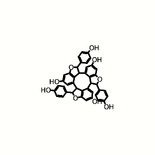 Oc1ccc(C2Oc3cc(O)cc4c3C2c2cc(O)cc3c2C(c2cc(O)cc5c2C4C(c2ccc(O)cc2)O5)C(c2ccc(O)cc2)O3)cc1